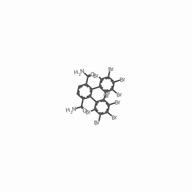 NC(=O)c1ccc(C(N)=O)c(-c2c(Br)c(Br)c(Br)c(Br)c2Br)c1-c1c(Br)c(Br)c(Br)c(Br)c1Br